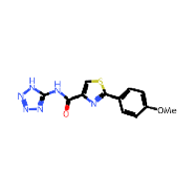 COc1ccc(-c2nc(C(=O)Nc3nnn[nH]3)cs2)cc1